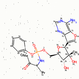 COC(=O)C(NP(=O)(OC[C@H]1O[C@@H](c2coc3c(N)ncnc23)[C@](C)(O)[C@@H]1O)Oc1ccccc1)C(C)C